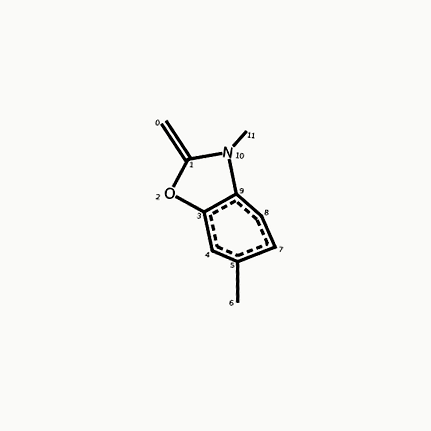 C=C1Oc2cc(C)ccc2N1C